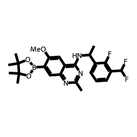 COc1cc2c(NC(C)c3cccc(C(F)F)c3F)nc(C)nc2cc1B1OC(C)(C)C(C)(C)O1